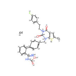 CCc1cc2c(=O)n(CCc3ccc(F)cc3)c(=O)n(Cc3ccc(-c4ccccc4-c4noc(=O)[nH]4)cc3)c2s1.[KH]